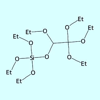 CCOC(O[Si](OCC)(OCC)OCC)C(OCC)(OCC)OCC